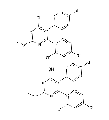 COc1nc(O)c(-c2ccc(Cl)cc2)c(-c2ccc(Cl)cc2Cl)n1.CSc1nc(O)c(-c2ccc(Cl)cc2)c(-c2ccc(Cl)cc2Cl)n1